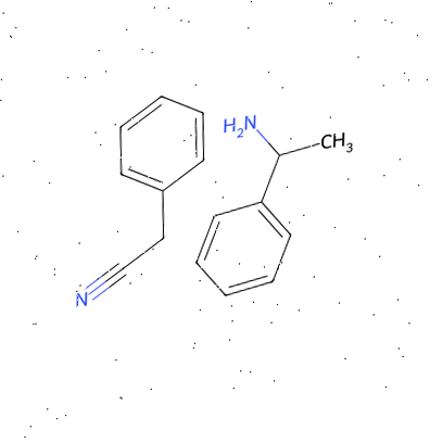 CC(N)c1ccccc1.N#CCc1ccccc1